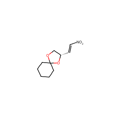 O=[N+]([O-])/C=C/[C@H]1COC2(CCCCC2)O1